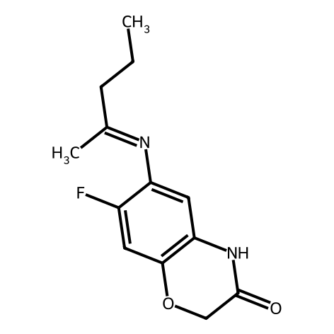 CCC/C(C)=N/c1cc2c(cc1F)OCC(=O)N2